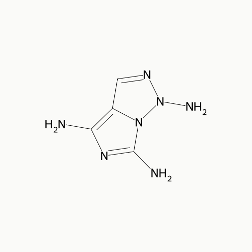 Nc1nc(N)n2c1cnn2N